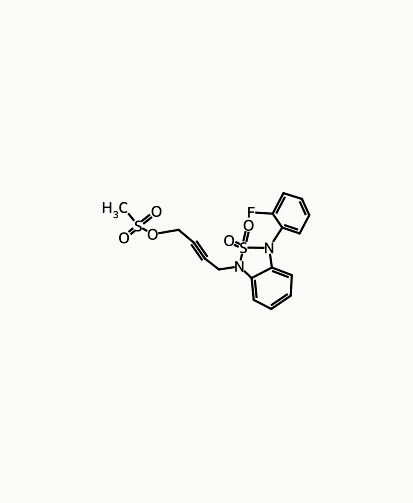 CS(=O)(=O)OCC#CCN1c2ccccc2N(c2ccccc2F)S1(=O)=O